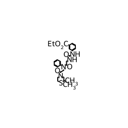 CCOC(=O)c1cccc(NC(=O)NCC(=O)N(CC(=O)N2CCSC(C)(C)C2)c2ccccc2)c1